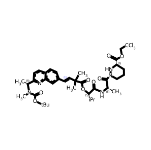 CC(C)[C@H](OC(=O)C(C)(C)/C=C/c1ccc2ccc([C@@H](C)N(C)C(=O)OC(C)(C)C)nc2c1)C(=O)N[C@@H](C)C(=O)N1CCC[C@@H](C(=O)OCC(Cl)(Cl)Cl)N1